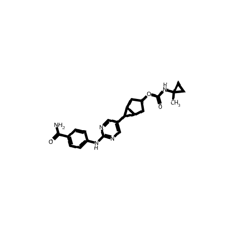 CC1(NC(=O)OC2CC3C(C2)C3c2cnc(Nc3ccc(C(N)=O)cc3)nc2)CC1